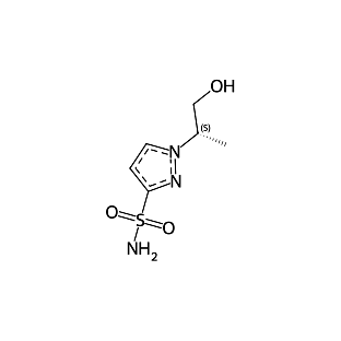 C[C@@H](CO)n1ccc(S(N)(=O)=O)n1